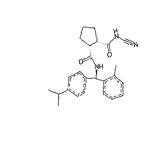 Cc1ccccc1[C@H](NC(=O)[C@@H]1CCC[C@@H]1C(=O)NC#N)c1ccc(C(C)C)cc1